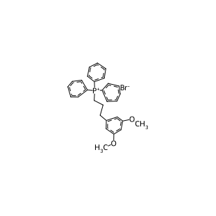 COc1cc(CCC[P+](c2ccccc2)(c2ccccc2)c2ccccc2)cc(OC)c1.[Br-]